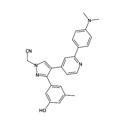 Cc1cc(O)cc(-c2nn(CC#N)cc2-c2ccnc(-c3ccc(N(C)C)cc3)c2)c1